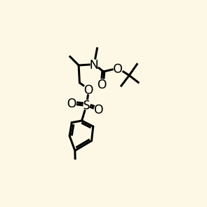 Cc1ccc(S(=O)(=O)OCC(C)N(C)C(=O)OC(C)(C)C)cc1